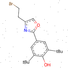 CC(C)(C)c1cc(-c2nc(CCBr)co2)cc(C(C)(C)C)c1O